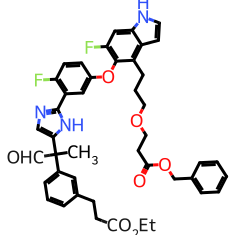 CCOC(=O)CCc1cccc(C(C)(C=O)c2cnc(-c3cc(Oc4c(F)cc5[nH]ccc5c4CCCOCCC(=O)OCc4ccccc4)ccc3F)[nH]2)c1